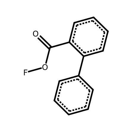 O=C(OF)c1ccccc1-c1ccccc1